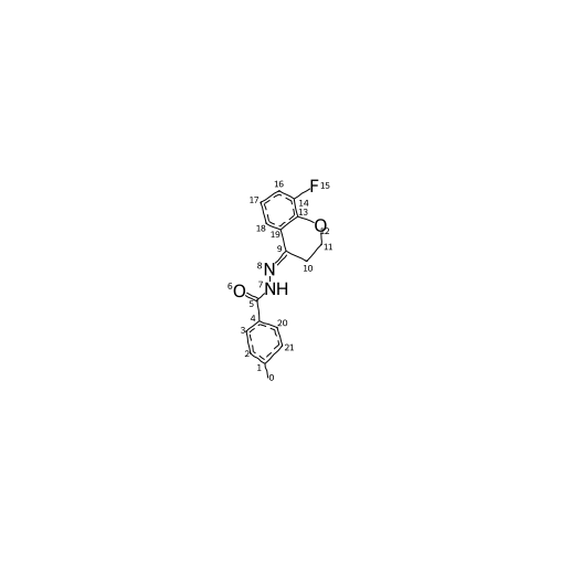 Cc1ccc(C(=O)NN=C2CCOc3c(F)cccc32)cc1